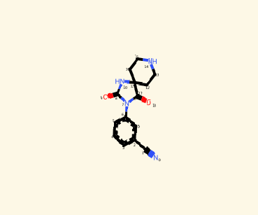 N#Cc1cccc(N2C(=O)NC3(CCNCC3)C2=O)c1